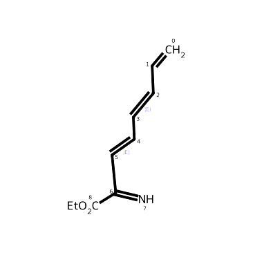 C=C/C=C/C=C/C(=N)C(=O)OCC